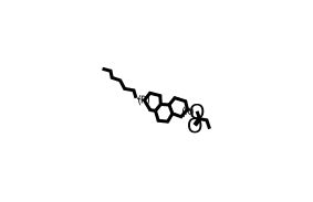 CCCCCCC[C@@H]1CCC2C(CCC3C[C@H](OC(=O)CC)CCC32)C1